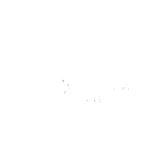 CC(C(=O)O)C1CCc2ccccc2N1